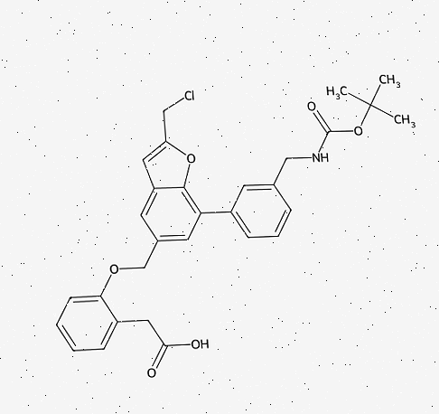 CC(C)(C)OC(=O)NCc1cccc(-c2cc(COc3ccccc3CC(=O)O)cc3cc(CCl)oc23)c1